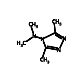 Cc1nnc(C)n1N(C)C